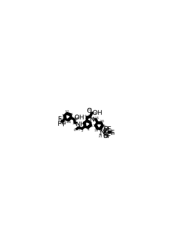 CC(Cc1ccc2c(c1)cc(C(=O)O)n2Cc1ccc(N(C)S(=O)(=O)C(F)(F)F)cc1)NCC(O)c1cccc(C(F)(F)F)c1